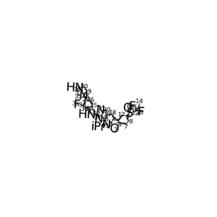 CC(C)n1c(=O)c(-c2cccc([S+]([O-])CC(C)(F)F)c2)cc2cnc(Nc3ccc(N4CCNCC4)c(F)c3)nc21